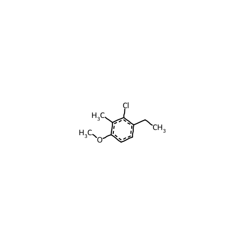 CCc1ccc(OC)c(C)c1Cl